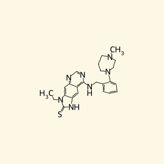 CCn1c(=S)[nH]c2cc3c(NCc4ccccc4N4CCCN(C)CC4)ncnc3cc21